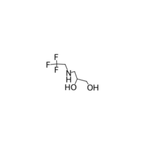 OCC(O)CNCC(F)(F)F